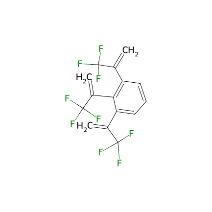 C=C(c1cccc(C(=C)C(F)(F)F)c1C(=C)C(F)(F)F)C(F)(F)F